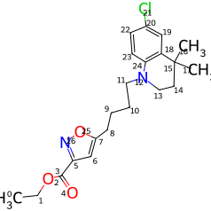 CCOC(=O)c1cc(CCCCN2CCC(C)(C)c3cc(Cl)ccc32)on1